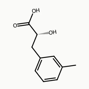 Cc1cccc(C[C@@H](O)C(=O)O)c1